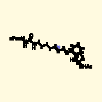 CCCCCNC(=O)NCCCC/C=C/COc1cccc2c1NC(NC(C)=O)S2